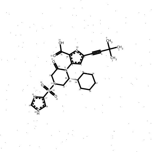 CC(C)(C)C#Cc1cc(N2C(=O)CN(S(=O)(=O)c3c[nH]cn3)C[C@H]2C2CCCCC2)c(C(=O)O)s1